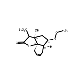 CCOC(=O)C1C(=O)O[C@]23CC=CC[C@@H]2[C@H](OOC(C)(C)C)C[C@]13O